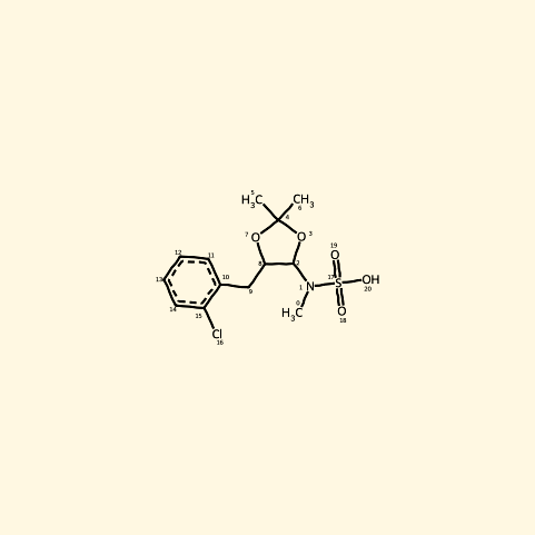 CN(C1OC(C)(C)OC1Cc1ccccc1Cl)S(=O)(=O)O